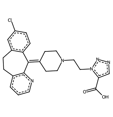 O=C(O)c1cnnn1CCN1CCC(=C2c3ccc(Cl)cc3CCc3cccnc32)CC1